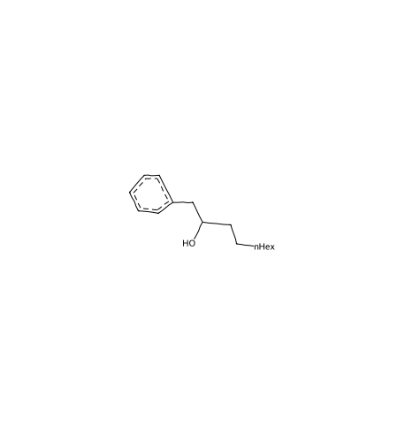 CCCCCCCCC(O)Cc1ccccc1